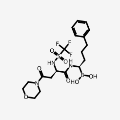 O=C(N[C@@H](CCCc1ccccc1)B(O)O)[C@@H](CC(=O)N1CCOCC1)NS(=O)(=O)C(F)(F)F